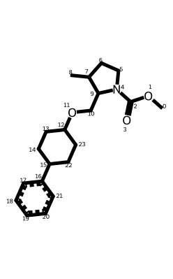 COC(=O)N1CCC(C)C1COC1CCC(c2ccccc2)CC1